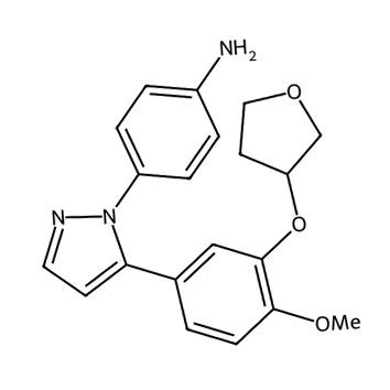 COc1ccc(-c2ccnn2-c2ccc(N)cc2)cc1OC1CCOC1